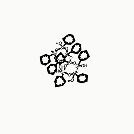 CO[Si]1(c2ccccc2)O[Si](O)(c2ccccc2)O[Si](O[Si]2(c3ccccc3)O[Si](O)(c3ccccc3)O[Si](C)(c3ccccc3)O[Si](O)(c3ccccc3)O2)(c2ccccc2)O[Si](O)(c2ccccc2)O1